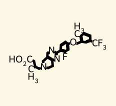 Cc1ccc(C(F)(F)F)cc1COc1ccc(-c2ncc3c(n2)CCN(CC(C)CC(=O)O)C3)c(F)c1